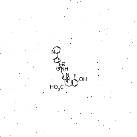 O=C(O)C(Cc1ccc(O)c(F)c1)n1cc(CNS(=O)(=O)c2ccc(-c3ccccn3)s2)nn1